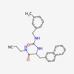 Cc1cccc(CNC(=O)NC(Cc2ccc3ccccc3c2)C(=O)NCCC#N)c1